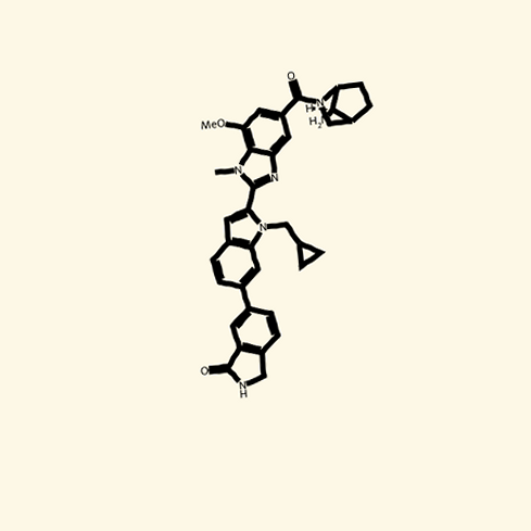 COc1cc(C(=O)N2CC3CCC2[C@@H]3N)cc2nc(-c3cc4ccc(-c5ccc6c(c5)C(=O)NC6)cc4n3CC3CC3)n(C)c12